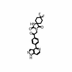 O=C(CN1C(=O)NC2(CCC(F)(F)CC2)C1=O)c1ccc(-c2nccc3[nH]ncc23)cc1